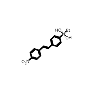 CC[N+](O)(O)c1ccc(C=Cc2ccc([N+](=O)[O-])cc2)cc1